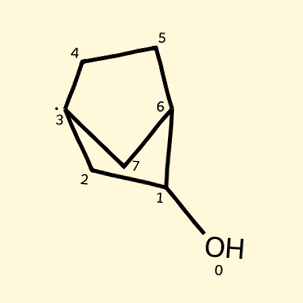 OC1C[C]2CCC1C2